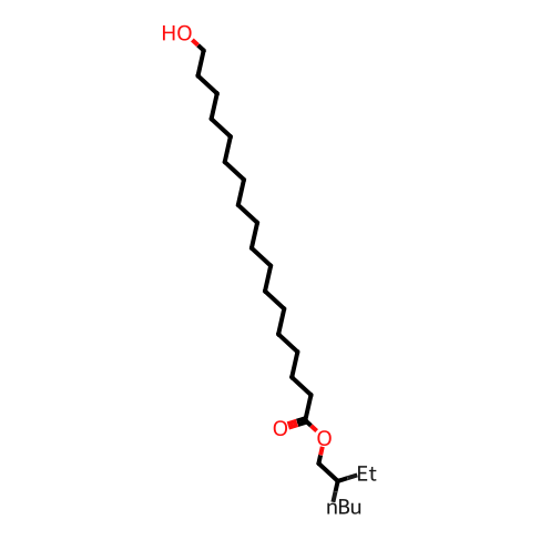 CCCCC(CC)COC(=O)CCCCCCCCCCCCCCCCCO